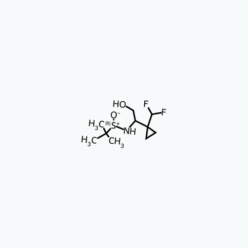 CC(C)(C)[S@+]([O-])NC(CO)C1(C(F)F)CC1